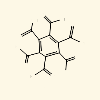 O=C(O)c1c(C(=O)O)c(C(=O)O)c(C(=O)O)c(C(=O)O)c1C(=O)O.[Cu]